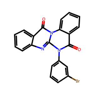 O=c1c2ccccc2n2c(=O)c3ccccc3nc2n1-c1cccc(Br)c1